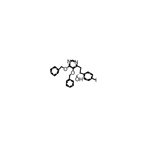 OC[C@H](Cc1ncnc(OCc2ccccc2)c1OCc1ccccc1)c1ccc(I)cc1